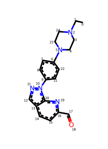 CCN1CCN(c2ccc(-n3ncc4ccc(C=O)nc43)cc2)CC1